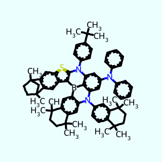 CC(C)(C)c1ccc(N2c3cc(N(c4ccccc4)c4ccccc4)cc4c3B(c3cc5c(cc3N4c3ccc4c(c3)C(C)(C)CCC4(C)C)C(C)(C)CCC5(C)C)c3c2sc2cc4c(cc32)C2(C)CCC4(C)C2)cc1